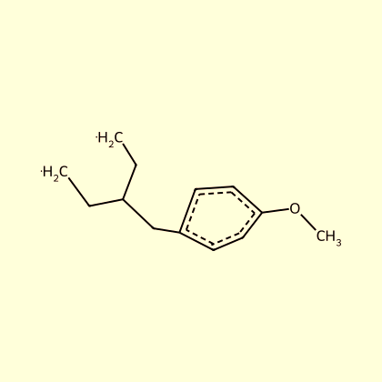 [CH2]CC(C[CH2])Cc1ccc(OC)cc1